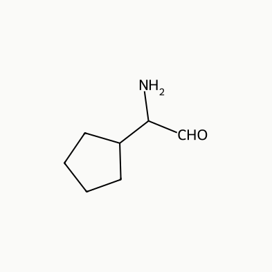 NC(C=O)C1CCCC1